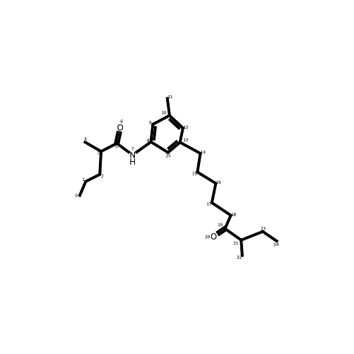 CCCC(C)C(=O)Nc1cc(C)cc(CCCCCC(=O)C(C)CC)c1